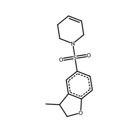 CC1COc2ccc(S(=O)(=O)N3CC=CCC3)cc21